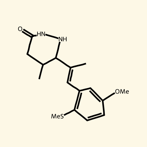 COc1ccc(SC)c(/C=C(\C)C2NNC(=O)CC2C)c1